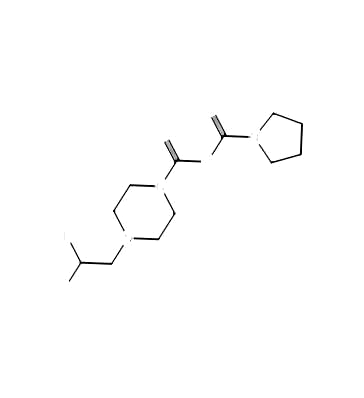 O=C(OC(=O)N1CCN(CC(F)F)CC1)N1CCCC1